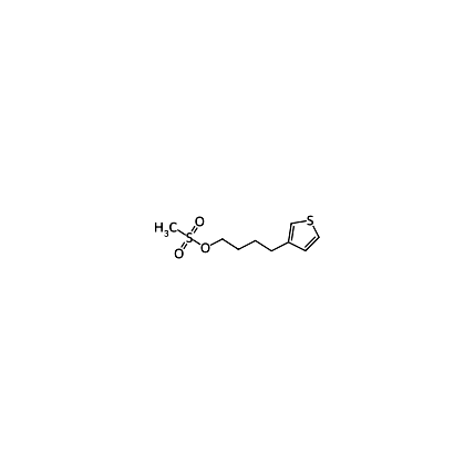 CS(=O)(=O)OCCCCc1ccsc1